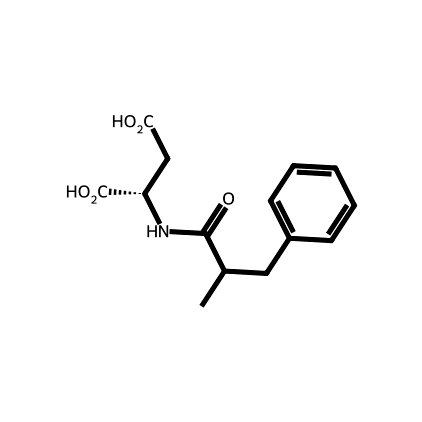 CC(Cc1ccccc1)C(=O)N[C@@H](CC(=O)O)C(=O)O